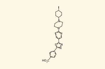 C[C@H]1CC[C@@H](N2CCN(c3ccc(-c4nnc(-c5ccc(C(=O)O)cc5)s4)cn3)CC2)CC1